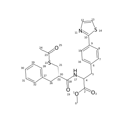 COC(=O)C(Cc1ccc(-c2nccs2)cc1)NC(=O)[C@@H](CSC(C)=O)Cc1ccccc1